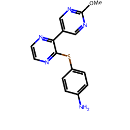 COc1ncc(-c2nccnc2Sc2ccc(N)cc2)cn1